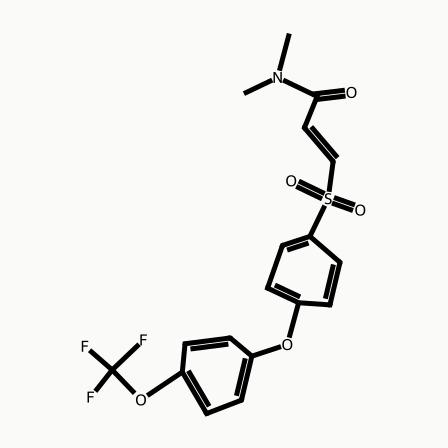 CN(C)C(=O)/C=C/S(=O)(=O)c1ccc(Oc2ccc(OC(F)(F)F)cc2)cc1